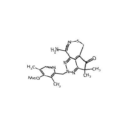 COc1c(C)cnc(CN2N=C3C(N)=NSCC4=C3C(=N2)C(C)(C)C4=O)c1C